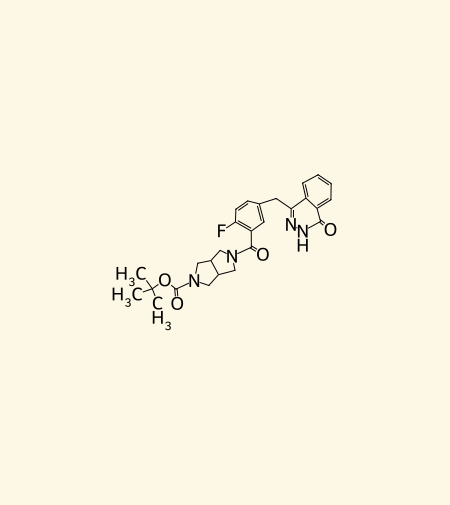 CC(C)(C)OC(=O)N1CC2CN(C(=O)c3cc(Cc4n[nH]c(=O)c5ccccc45)ccc3F)CC2C1